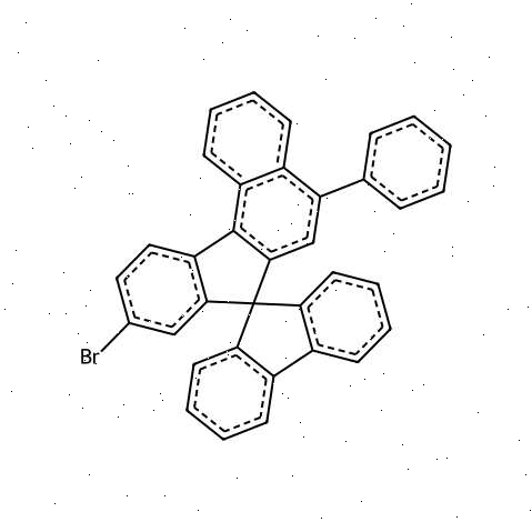 Brc1ccc2c(c1)C1(c3ccccc3-c3ccccc31)c1cc(-c3ccccc3)c3ccccc3c1-2